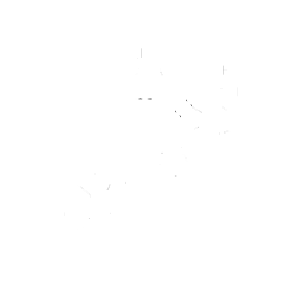 CC1(C)COc2c(OCc3cccc(-c4c5cccc(C(F)(F)F)c5nn4Cc4ccc(Cl)cc4F)c3)cccc21